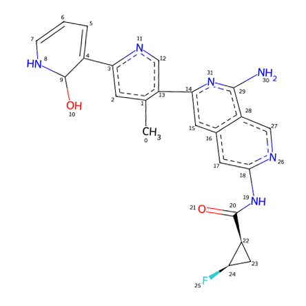 Cc1cc(C2=CC=CNC2O)ncc1-c1cc2cc(NC(=O)[C@H]3C[C@H]3F)ncc2c(N)n1